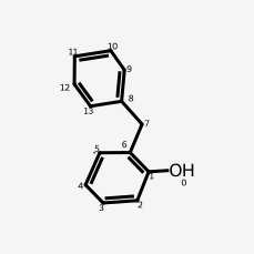 Oc1ccc[c]c1Cc1ccccc1